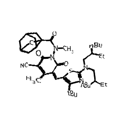 CCCCC(CC)CN(CC(CC)CCCC)c1nc(C(C)(C)C)c(/C=C2\C(=O)N(N(C)C(=O)C34CC5CC(CC3C5)C4)C(=O)C(C#N)=C2C)s1